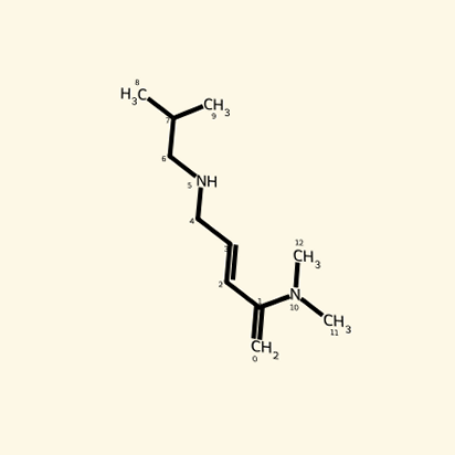 C=C(/C=C/CNCC(C)C)N(C)C